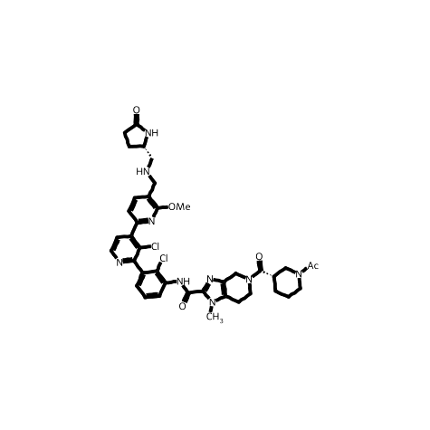 COc1nc(-c2ccnc(-c3cccc(NC(=O)c4nc5c(n4C)CCN(C(=O)[C@H]4CCCN(C(C)=O)C4)C5)c3Cl)c2Cl)ccc1CNC[C@@H]1CCC(=O)N1